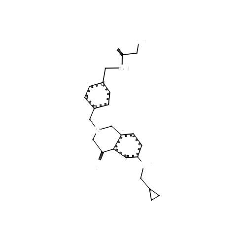 O=C(CO)NCc1ccc(CN2CC(=O)c3cc(OCC4CC4)ccc3C2)cc1